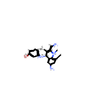 Cc1cc(N)cc2c1N(C)C(CN)=C(C#N)[C@@H]2Nc1cccc(Br)c1